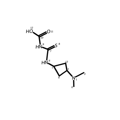 CN(C)C1CC(NC(=S)NC(=O)O)C1